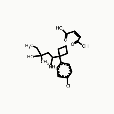 CCC(C)(O)CC(N)C1(c2ccc(Cl)cc2)CCC1.O=C(O)/C=C\C(=O)O